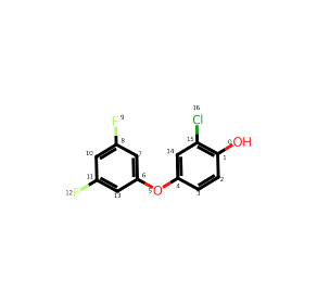 Oc1ccc(Oc2cc(F)cc(F)c2)cc1Cl